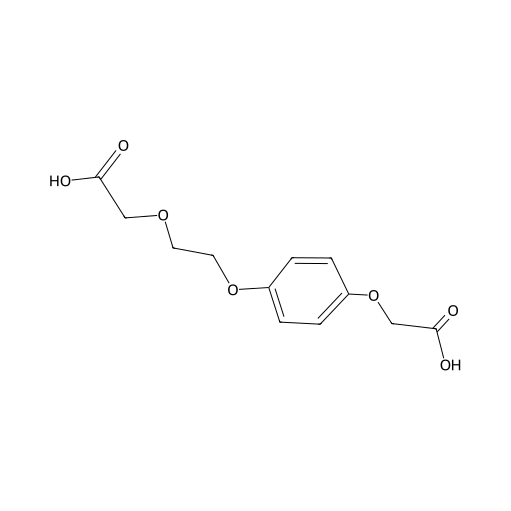 O=C(O)COCCOc1ccc(OCC(=O)O)cc1